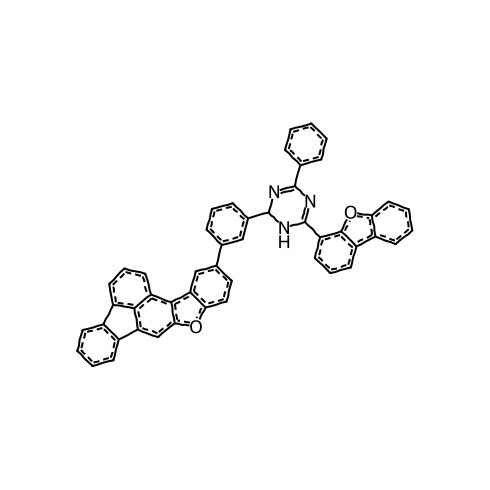 c1ccc(C2=NC(c3cccc(-c4ccc5oc6cc7c8c(cccc8c6c5c4)-c4ccccc4-7)c3)NC(c3cccc4c3oc3ccccc34)=N2)cc1